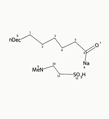 CCCCCCCCCCCCCCC[C](=O)[Na].CNCCS(=O)(=O)O